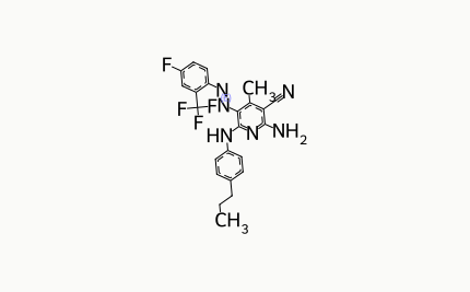 CCCc1ccc(Nc2nc(N)c(C#N)c(C)c2/N=N/c2ccc(F)cc2C(F)(F)F)cc1